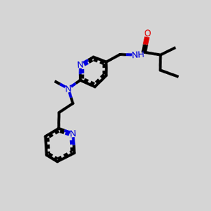 CCC(C)C(=O)NCc1ccc(N(C)CCc2ccccn2)nc1